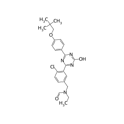 CCN(C=O)Cc1ccc(Cl)c(-c2nc(O)nc(-c3ccc(OCC(C)(C)C)cc3)n2)c1